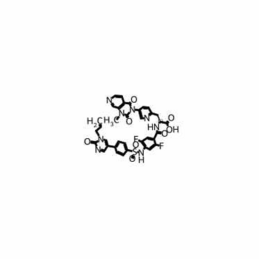 C=CCn1cc(-c2ccc(S(=O)(=O)Nc3cc(F)c(C(=O)N[C@@H](Cc4ccc(-n5c(=O)c6ccncc6n(C)c5=O)cn4)C(=O)O)cc3F)cc2)cnc1=O